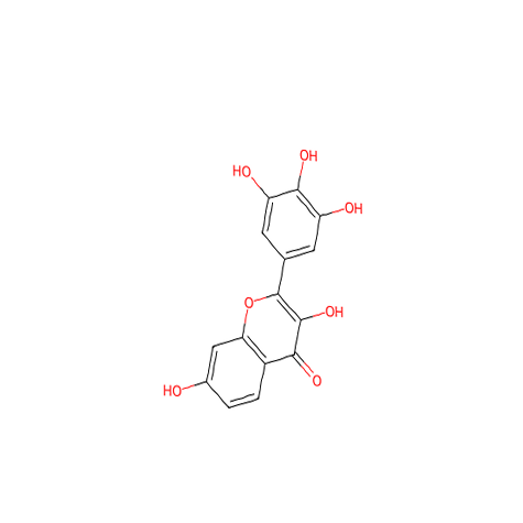 O=c1c(O)c(-c2cc(O)c(O)c(O)c2)oc2cc(O)ccc12